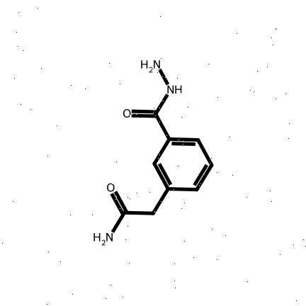 NNC(=O)c1cccc(CC(N)=O)c1